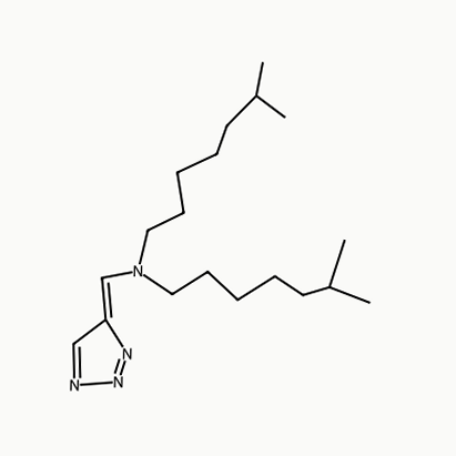 CC(C)CCCCCN(C=C1C=NN=N1)CCCCCC(C)C